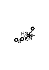 O=C(Nc1ccc(Oc2ccccc2)cc1)C1=C(O)C(CCc2ccccc2)NC1=O